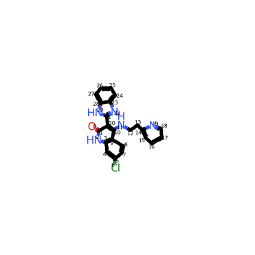 O=c1[nH]c2cc(Cl)ccc2c(NCCc2ccccn2)c1-c1nc2ccccc2[nH]1